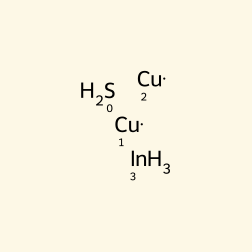 S.[Cu].[Cu].[InH3]